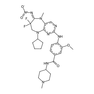 COc1cc(C(=O)NC2CCN(C)CC2)ccc1Nc1ncc2c(n1)N(C1CCCC1)CC(F)(F)/C(=N\[N+](=O)[O-])N2C